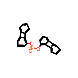 O=[PH](Oc1cccc2c1-c1ccccc1-2)Oc1cccc2c1-c1ccccc1-2